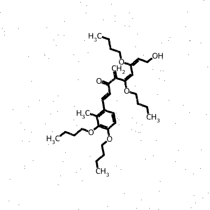 C=C(C(=O)/C=C/c1ccc(OCCCC)c(OCCCC)c1C)/C(=C\C(=C/CO)OCCCC)OCCCC